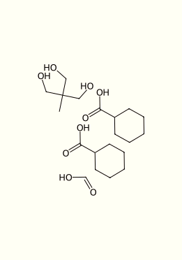 CC(CO)(CO)CO.O=C(O)C1CCCCC1.O=C(O)C1CCCCC1.O=CO